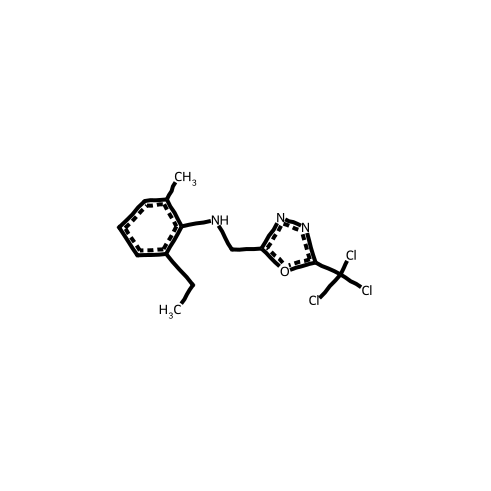 CCc1cccc(C)c1NCc1nnc(C(Cl)(Cl)Cl)o1